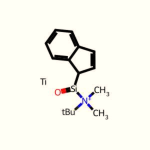 CC(C)(C)[N+](C)(C)[Si](=O)C1C=Cc2ccccc21.[Ti]